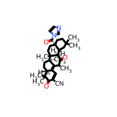 CC1C(=O)[C@@H]2[C@@H]3CC(C)(C)CC[C@]3(C(=O)n3ccnc3)CC[C@@]2(C)[C@]2(C)CC[C@@H]3C(=C12)C=C(C#N)C(=O)C3(C)C